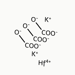 O=C([O-])[O-].O=C([O-])[O-].O=C([O-])[O-].[Hf+4].[K+].[K+]